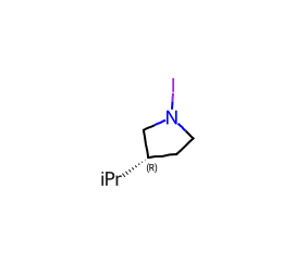 CC(C)[C@H]1CCN(I)C1